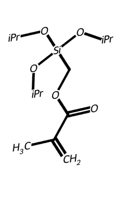 C=C(C)C(=O)OC[Si](OC(C)C)(OC(C)C)OC(C)C